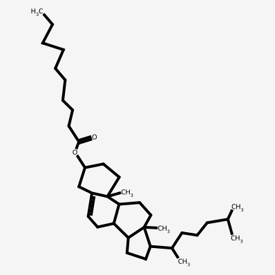 CCCCCCCCCC(=O)OC1CCC2(C)C(=CCC3C2CCC2(C)C(C(C)CCCC(C)C)CCC32)C1